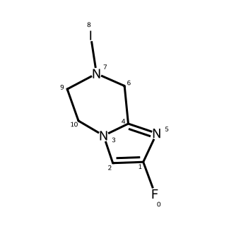 Fc1cn2c(n1)CN(I)CC2